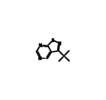 CC(C)(C)c1nsc2ncncc12